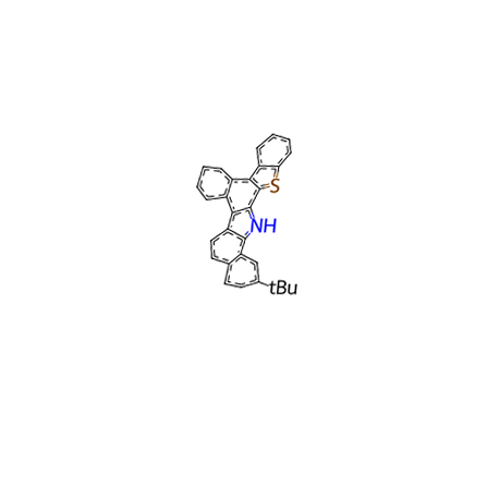 CC(C)(C)c1ccc2ccc3c([nH]c4c5sc6ccccc6c5c5ccccc5c34)c2c1